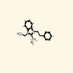 CCn1c(C)[n+](CCc2ccccc2)c2ccccc21.[Br-]